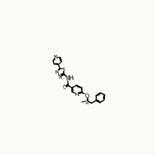 C[C@H](Cc1ccccc1)Oc1ccc(C(=O)Nc2nnc(-c3ccncc3)s2)cn1